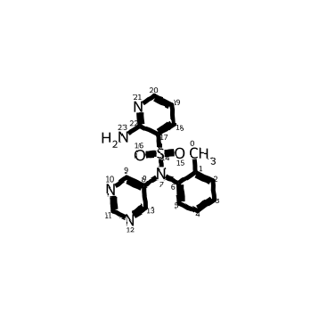 Cc1ccccc1N(c1cncnc1)S(=O)(=O)c1cccnc1N